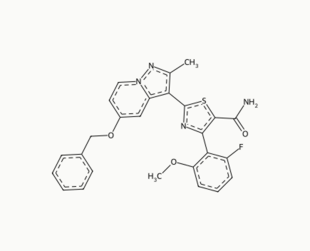 COc1cccc(F)c1-c1nc(-c2c(C)nn3ccc(OCc4ccccc4)cc23)sc1C(N)=O